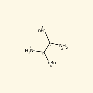 CCCCC(N)C(N)CCC